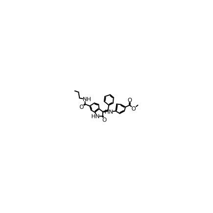 CCCNC(=O)c1ccc2c(c1)NC(=O)/C2=C(\Nc1ccc(C(=O)OC)cc1)c1ccccc1